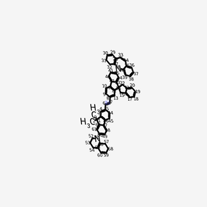 CC1(C)c2cc(/C=C/c3ccc4c(c3)C3(Cc5ccccc5C3)c3cc(N5C6=C(C=CCC6)C=Cc6ccccc65)ccc3-4)ccc2-c2ccc(N3CCCC4=C3CCC=C4)cc21